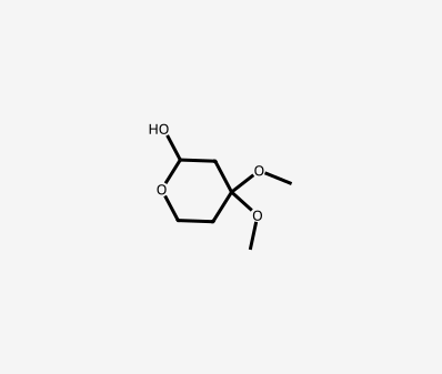 COC1(OC)CCOC(O)C1